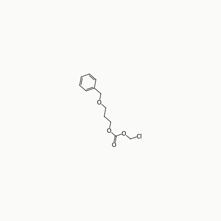 O=C(OCCl)OCCCOCc1ccccc1